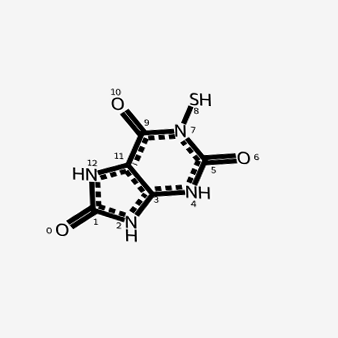 O=c1[nH]c2[nH]c(=O)n(S)c(=O)c2[nH]1